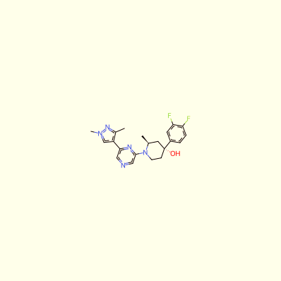 Cc1nn(C)cc1-c1cncc(N2CC[C@](O)(c3ccc(F)c(F)c3)C[C@@H]2C)n1